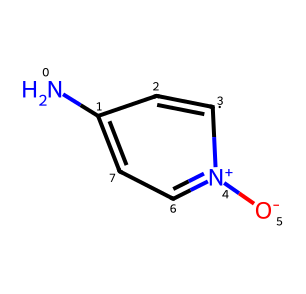 Nc1c[c][n+]([O-])cc1